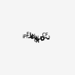 C=CCc1ccc(-c2noc(-c3cc(CC(C)C)n(CC)n3)n2)cc1C(F)(F)F